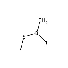 BB(I)SC